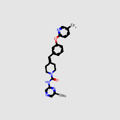 COc1cncc(NC(=O)N2CCC(=Cc3cccc(Oc4ccc(C(F)(F)F)cn4)c3)CC2)n1